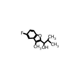 Cc1c(C(O)C(C)C)oc2ccc(F)cc12